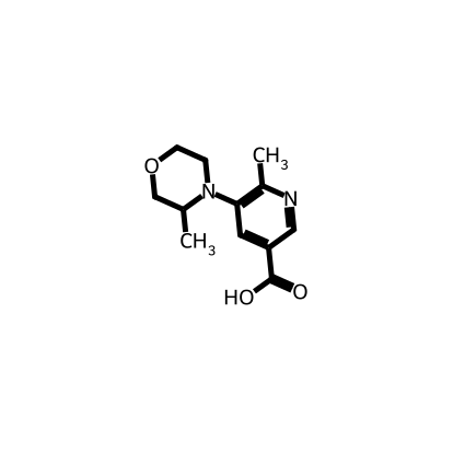 Cc1ncc(C(=O)O)cc1N1CCOCC1C